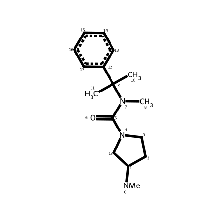 CNC1CCN(C(=O)N(C)C(C)(C)c2ccccc2)C1